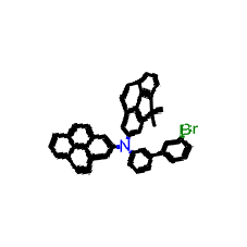 CC1(C)c2cccc3ccc4cc(N(c5cccc(-c6cccc(Br)c6)c5)c5cc6ccc7cccc8ccc(c5)c6c78)cc1c4c23